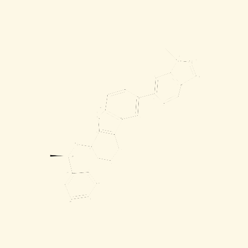 C[C@@H](NC1CCCc2c1[nH]c1ccc(-c3ccc4cnn(C)c4c3)cc21)c1ccccc1